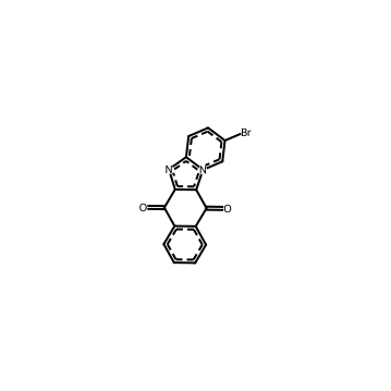 O=C1c2ccccc2C(=O)c2c1nc1ccc(Br)cn21